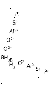 B.B.[Al+3].[Al+3].[O-2].[O-2].[O-2].[P].[P].[Si].[Si]